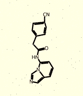 N#Cc1ccc(CC(=O)Nc2cccc3cncn23)cc1